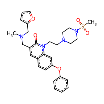 CN(Cc1ccco1)Cc1cc2ccc(Oc3ccccc3)cc2n(CCN2CCN(S(C)(=O)=O)CC2)c1=O